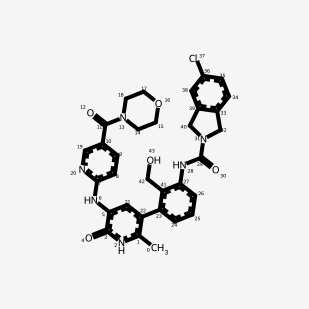 Cc1[nH]c(=O)c(Nc2ccc(C(=O)N3CCOCC3)cn2)cc1-c1cccc(NC(=O)N2Cc3ccc(Cl)cc3C2)c1CO